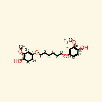 OC1=C(OC(F)(F)F)C=C(OCCCCCCOc2ccc(O)c(OC(F)(F)F)c2)CC1